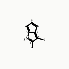 CC1=NC2=CC=CC2=C1C